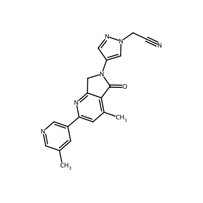 Cc1cncc(-c2cc(C)c3c(n2)CN(c2cnn(CC#N)c2)C3=O)c1